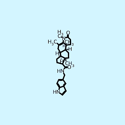 CC1=C2N(C)C(=O)CC[C@]2(C)[C@@H]2CC[C@]3(C)C(C(=O)NCc4ccc5[nH]ccc5c4)CC[C@H]3[C@@H]2C1